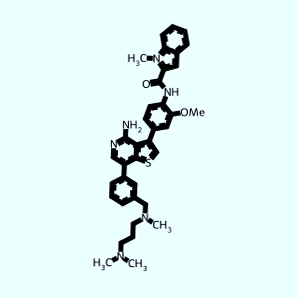 COc1cc(-c2csc3c(-c4cccc(CN(C)CCCN(C)C)c4)cnc(N)c23)ccc1NC(=O)c1cc2ccccc2n1C